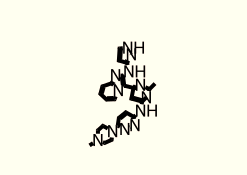 Cc1nc(Nc2ccc(N3CCN(C)CC3)nn2)cc(-c2c(Nc3cc[nH]n3)nc3ccccn23)n1